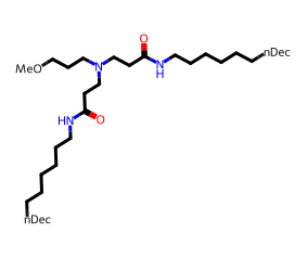 CCCCCCCCCCCCCCCCNC(=O)CCN(CCCOC)CCC(=O)NCCCCCCCCCCCCCCCC